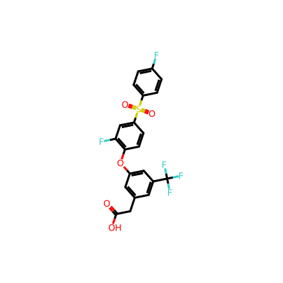 O=C(O)Cc1cc(Oc2ccc(S(=O)(=O)c3ccc(F)cc3)cc2F)cc(C(F)(F)F)c1